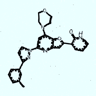 Cc1cccc(-c2ccn(-c3cc(N4CCOCC4)c4oc(-c5ccc[nH]c5=O)cc4n3)n2)c1